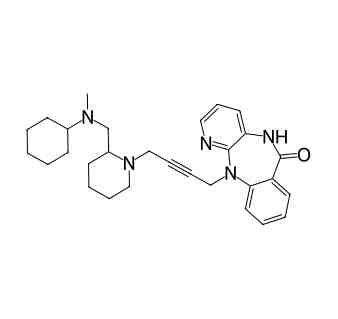 CN(CC1CCCCN1CC#CCN1c2ccccc2C(=O)Nc2cccnc21)C1CCCCC1